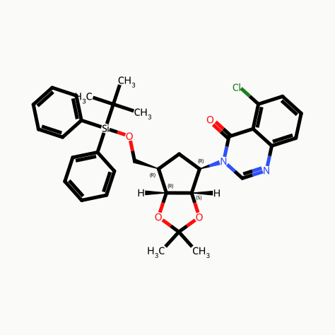 CC1(C)O[C@@H]2[C@@H](CO[Si](c3ccccc3)(c3ccccc3)C(C)(C)C)C[C@@H](n3cnc4cccc(Cl)c4c3=O)[C@@H]2O1